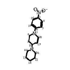 O=[N+]([O-])c1ccc(N2CCC(N3CCCCC3)CC2)cc1